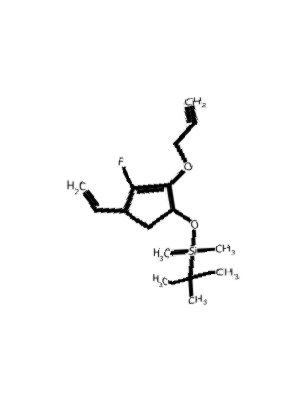 C=CCOC1=C(F)[C](C=C)CC1O[Si](C)(C)C(C)(C)C